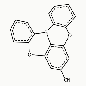 N#Cc1cc2c3c(c1)Oc1ccccc1B3c1ccccc1O2